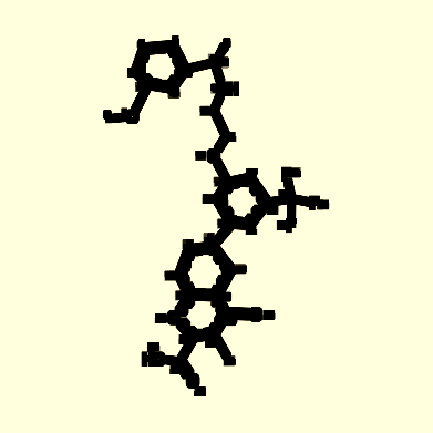 COc1cccc([C@@H](C)NCCOc2cc(-c3ccc4oc(C(=O)O)c(C)c(=O)c4c3)cc(C(F)(F)F)c2)c1